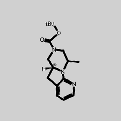 CC1CN(C(=O)OC(C)(C)C)C[C@H]2Cc3cccnc3N12